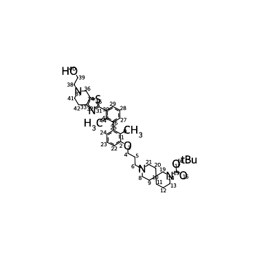 Cc1c(OCCCN2CCC3(CCCN(C(=O)OC(C)(C)C)C3)CC2)cccc1-c1cccc(-c2nc3c(s2)CN(CCO)CC3)c1C